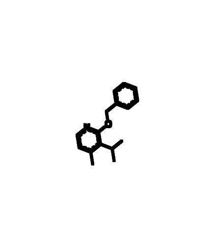 Cc1ccnc(OCc2ccccc2)c1C(C)C